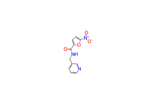 O=C(NCc1cccnc1)c1ccc([N+](=O)[O-])o1